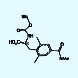 CNC(=O)c1cc(C)c(C[C@H](NC(=O)OC(C)(C)C)C(=O)O)c(C)c1